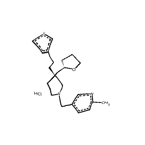 Cc1ccc(CN2CC[C@](CCc3ccsc3)([C@@H]3CCCO3)C2)cn1.Cl